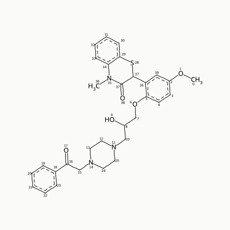 COc1ccc(OCC(O)CN2CCN(CC(=O)c3ccccc3)CC2)c(C2Sc3ccccc3N(C)C2=O)c1